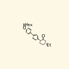 CCCCCCOc1ccc(-c2ccc([C@@H]3CC[C@@H](CC)CC3=O)cc2)cc1